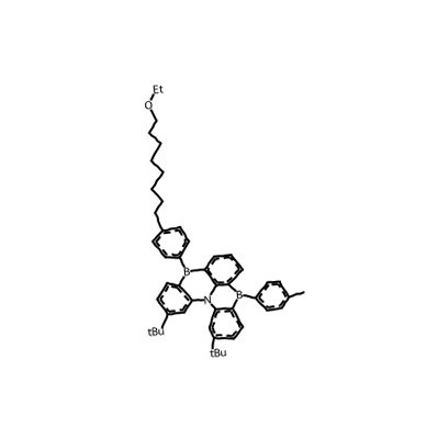 CCOCCCCCCCCc1ccc(B2c3ccc(C(C)(C)C)cc3N3c4cc(C(C)(C)C)ccc4B(c4ccc(C)cc4)c4cccc2c43)cc1